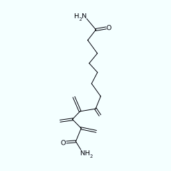 C=C(CCCCCCC(N)=O)C(=C)C(=C)C(=C)C(N)=O